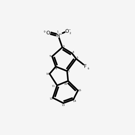 O=[N+]([O-])c1cc(F)c2c(c1)Cc1ccccc1-2